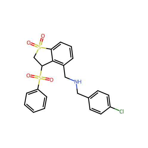 O=S1(=O)CC(S(=O)(=O)c2ccccc2)c2c(CNCc3ccc(Cl)cc3)cccc21